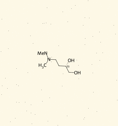 CNN(C)CC[C@H](O)CO